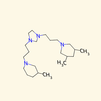 CC1CCCN(CCCN2CCN(CCCN3CC(C)CC(C)C3)C2)C1